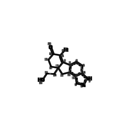 CCC1=C2c3ccc4[nH]ncc4c3CC2(CCO)CCC1=O